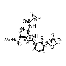 CNC(=O)c1cnc(NC(=O)C2CC2)c2[nH]c(-c3cccc(C4=NC(C)(C)CO4)c3F)cc12